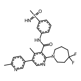 Cc1ccc(-c2cnc(N3CCCC(F)(F)CC3)c(C(=O)Nc3cccc(S(C)(=N)=O)c3)c2C)cn1